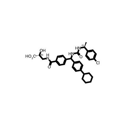 C[C@H](NC(=O)NC(c1ccc(C(=O)NC[C@@H](O)C(=O)O)cc1)c1ccc(C2CCCCC2)cc1)c1ccc(Cl)cc1